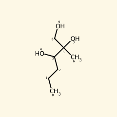 CCCC(O)C(C)(O)CO